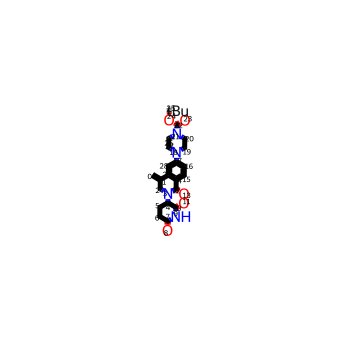 C=C1CN(C2CCC(=O)NC2=O)C(=O)c2ccc(N3CCN(C(=O)OC(C)(C)C)CC3)cc21